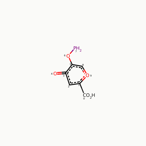 O=C(O)c1cc(=O)c(OP)co1